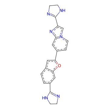 c1cc2cc(-c3ccn4cc(C5=NCCN5)nc4c3)oc2cc1C1=NCCN1